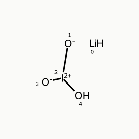 [LiH].[O-][I+2]([O-])O